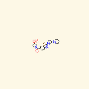 O=C(c1ccc2nc(N3CC[C@@H](N4CCCCC4)C3)sc2c1)N1CC[C@H](O)C1